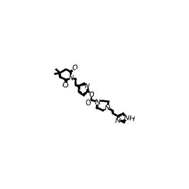 CC1(C)CC(=O)N(CCc2ccc(OC(=O)N3CCN(CCc4c[nH]cn4)CC3)nc2)C(=O)C1